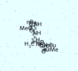 CCCCNC(CC(=O)NCCCC(C)CNC(=O)CC(NCCCC)C(=O)OC)C(=O)OC